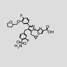 NS(=O)(=O)c1ccc(Cc2c(-c3ccc(F)c(OCC4CCCO4)c3)nn(-c3nc(C(=O)O)cs3)c2CC2CC2)cc1F